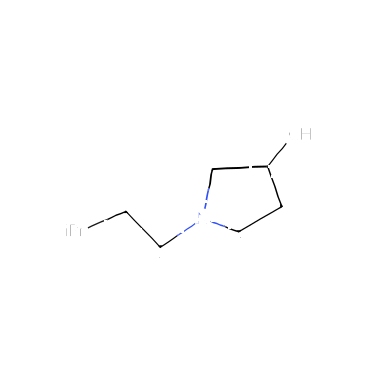 CC(C)CCN1CCC(C)C1